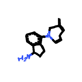 CC1CCCN(c2cccc3c2CCC3N)C1